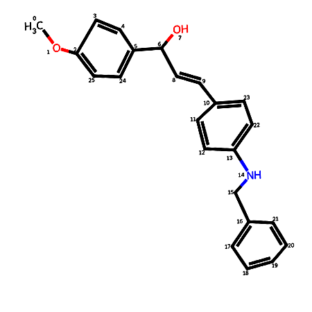 COc1ccc(C(O)C=Cc2ccc(NCc3ccccc3)cc2)cc1